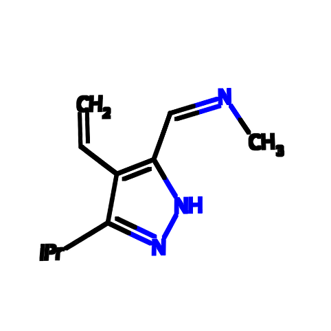 C=Cc1c(C(C)C)n[nH]c1/C=N\C